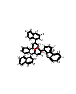 c1cc(-c2ccccc2N(c2ccc(-c3cccc4c3sc3ccccc34)cc2)c2cccc3ccccc23)cc(-c2cccc3ccccc23)c1